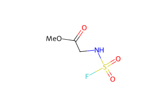 COC(=O)CNS(=O)(=O)F